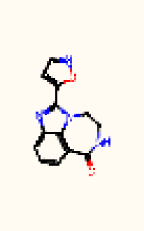 O=C1NCCn2c(-c3ccno3)nc3cccc1c32